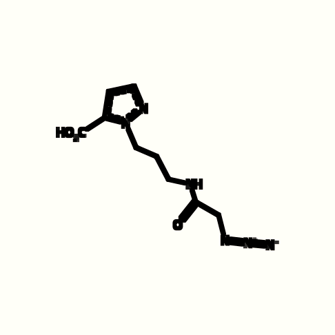 [N-]=[N+]=NCC(=O)NCCCn1nccc1C(=O)O